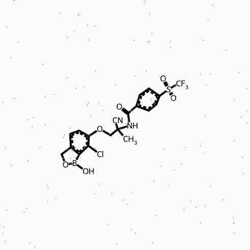 CC(C#N)(COc1ccc2c(c1Cl)B(O)OC2)NC(=O)c1ccc(S(=O)(=O)C(F)(F)F)cc1